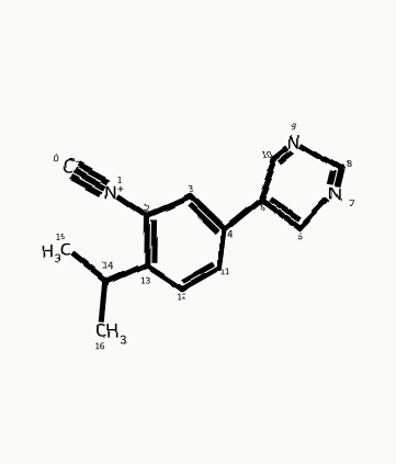 [C-]#[N+]c1cc(-c2cncnc2)ccc1C(C)C